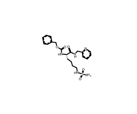 NS(=O)(=O)NCCCC[C@H](NC(=O)OCc1ccccc1)C(=O)NCc1ccccn1